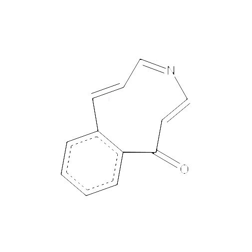 O=C1/C=C/N=C\C=C\c2ccccc21